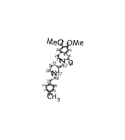 COc1cc2c(cc1OC)CC(=O)N(CC1CCCN(CCc3ccc(C)cc3)C1)CC2